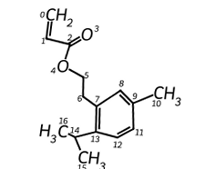 C=CC(=O)OCCc1cc(C)ccc1C(C)C